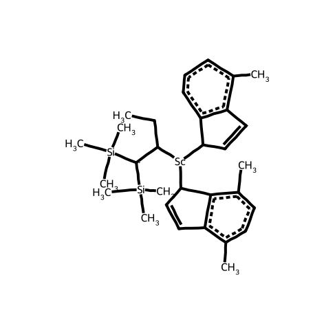 CC[CH]([C]([Si](C)(C)C)[Si](C)(C)C)[Sc]([CH]1C=Cc2c(C)cccc21)[CH]1C=Cc2c(C)ccc(C)c21